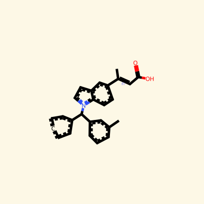 C/C(=C\C(=O)O)c1ccc2c(ccn2C(c2ccccc2)c2cccc(C)c2)c1